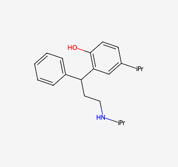 CC(C)NCCC(c1ccccc1)c1cc(C(C)C)ccc1O